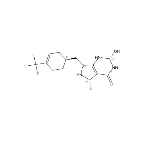 C[C@@H]1NN(C[C@@H]2CC=C(C(F)(F)F)CC2)C2=C1C(=O)N[C@@H](O)N2